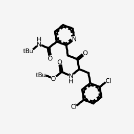 CC(C)(C)NC(=O)c1cccnc1CC(=O)C(Cc1cc(Cl)ccc1Cl)NC(=O)OC(C)(C)C